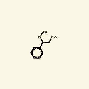 CCC(C)N[C@@H](COC)c1ccccc1